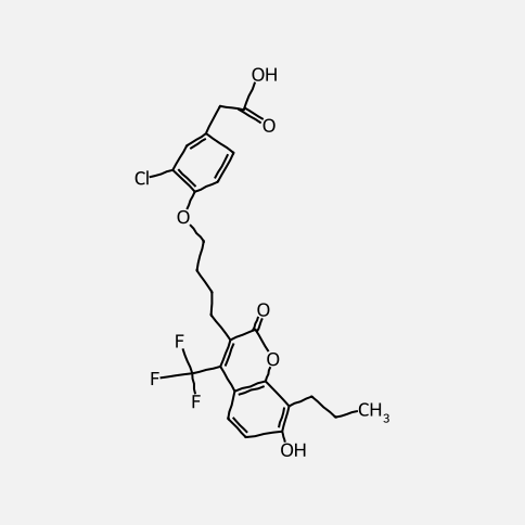 CCCc1c(O)ccc2c(C(F)(F)F)c(CCCCOc3ccc(CC(=O)O)cc3Cl)c(=O)oc12